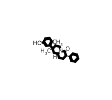 C[C@H]1CN2C(=O)[C@@H](c3ccccc3)CC[C@H]2C[C@@]1(C)c1cccc(O)c1